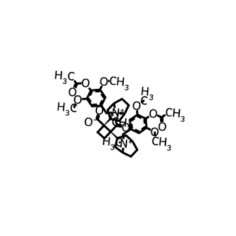 COc1cc(C[N+]2(C)C3CCC2CC([C@@]2(C(=O)[O-])CC[C@@]2(C(=O)[O-])C2CC4CCC(C2)[N+]4(C)Cc2cc(OC)c(OC(C)=O)c(OC)c2)C3)cc(OC)c1OC(C)=O